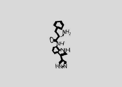 NC[C@@H](Cc1ccccc1)C(=O)Nc1cccc2c(-c3cn[nH]c3)c[nH]c12